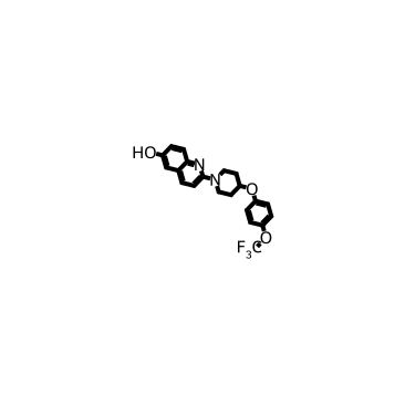 Oc1ccc2nc(N3CCC(Oc4ccc(OC(F)(F)F)cc4)CC3)ccc2c1